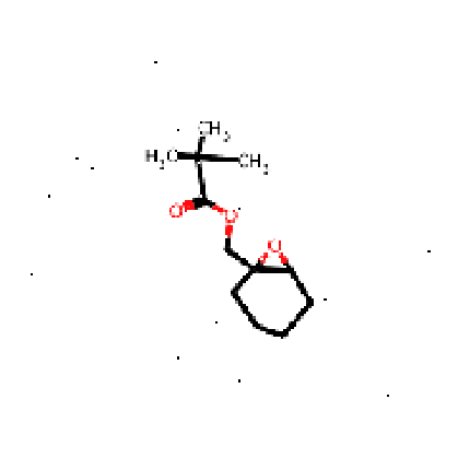 CC(C)(C)C(=O)OCC12CCCCC1O2